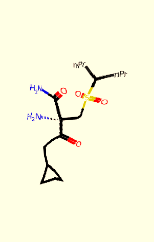 CCCC(CCC)S(=O)(=O)C[C@](N)(C(N)=O)C(=O)CC1CC1